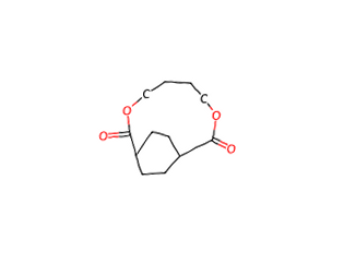 O=C1OCCCCOC(=O)C2CCC1CC2